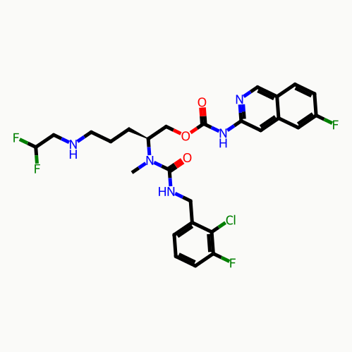 CN(C(=O)NCc1cccc(F)c1Cl)[C@@H](CCCNCC(F)F)COC(=O)Nc1cc2cc(F)ccc2cn1